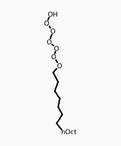 CCCCCCCCCCCCCCCOOOOOOO